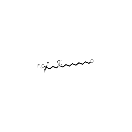 [O]CCCCCCCCC[S+]([O-])CCCC(F)(F)C(F)(F)F